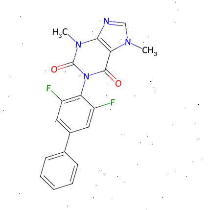 Cn1cnc2c1c(=O)n(-c1c(F)cc(-c3ccccc3)cc1F)c(=O)n2C